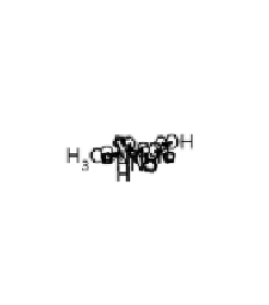 Cc1ccc([C@@H](Nc2c(Nc3cccc(C(=O)N4CCCC4C(=O)O)c3F)c(=O)c2=O)C2CCCS2)o1